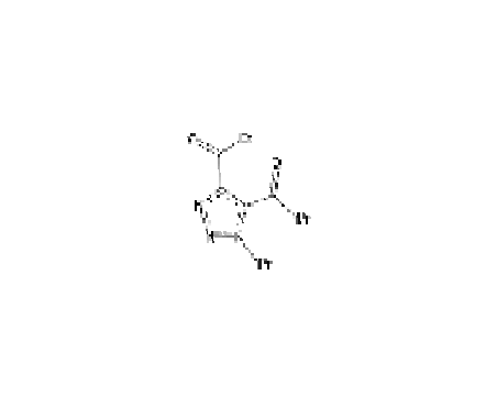 CCC(=O)c1nnn(C(C)C)c1C(=O)C(C)C